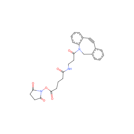 O=C(CCCC(=O)ON1C(=O)CCC1=O)NCCC(=O)N1Cc2ccccc2C#Cc2ccccc21